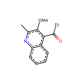 CCC(=O)c1c(OC)c(C)nc2ccccc12